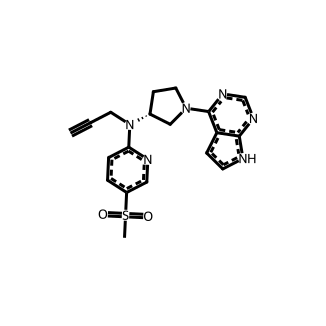 C#CCN(c1ccc(S(C)(=O)=O)cn1)[C@@H]1CCN(c2ncnc3[nH]ccc23)C1